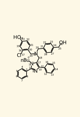 CCCCn1c(-c2ccccc2)nc(-c2ccccc2)c1CN(Cc1ccc(CO)cc1)Cc1ccc(O)cc1Cl